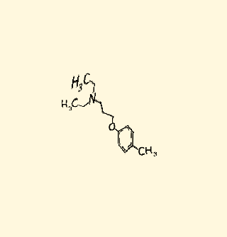 CCN(CC)CCCOc1ccc(C)cc1